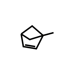 CC12C=CC(C1)C2